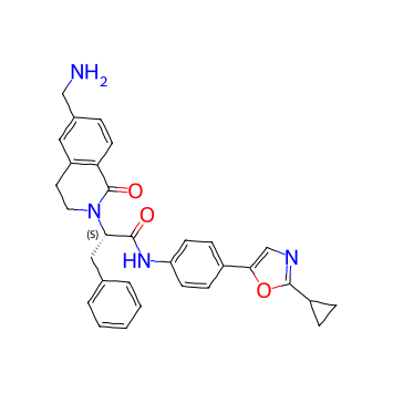 NCc1ccc2c(c1)CCN([C@@H](Cc1ccccc1)C(=O)Nc1ccc(-c3cnc(C4CC4)o3)cc1)C2=O